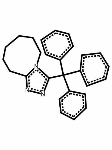 c1ccc(C(c2ccccc2)(c2ccccc2)c2nnc3n2CCCCCC3)cc1